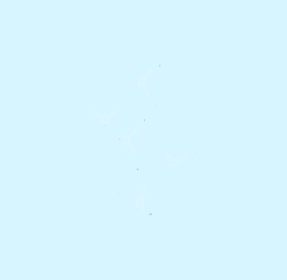 CCC(COC)(COC)OC(CC)(COC)COC